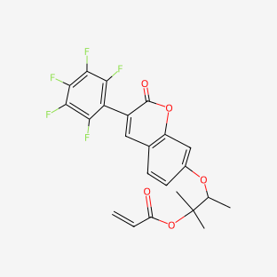 C=CC(=O)OC(C)(C)C(C)Oc1ccc2cc(-c3c(F)c(F)c(F)c(F)c3F)c(=O)oc2c1